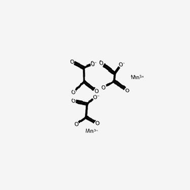 O=C([O-])C(=O)[O-].O=C([O-])C(=O)[O-].O=C([O-])C(=O)[O-].[Mn+3].[Mn+3]